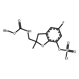 CCS(=O)(=O)Oc1cc(F)cc2c1OC(C)(CNC(=O)OC(C)(C)C)C2